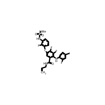 C=CCNC(=O)c1cc(Cc2cccc(NS(=O)(=O)NC)c2F)c(F)c(F)c1Nc1ccc(I)cc1F